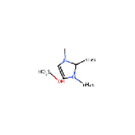 CCCCCCC1N(C)C=CN1CCCCCC.O=S(=O)(O)O